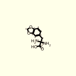 NC(N)(Cc1ccc2c(c1)OCO2)C(=O)O